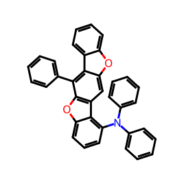 c1ccc(-c2c3oc4cccc(N(c5ccccc5)c5ccccc5)c4c3cc3oc4ccccc4c23)cc1